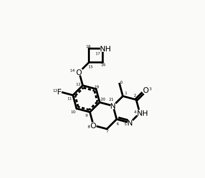 CC1C(=O)NN=C2COc3cc(F)c(OC4CNC4)cc3N21